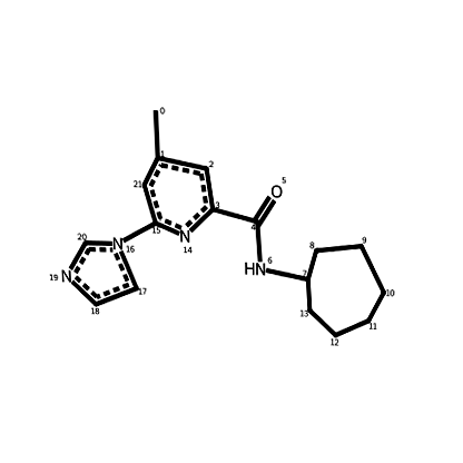 Cc1cc(C(=O)NC2CCCCCC2)nc(-n2ccnc2)c1